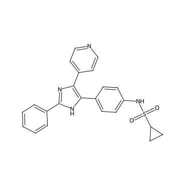 O=S(=O)(Nc1ccc(-c2[nH]c(-c3ccccc3)nc2-c2ccncc2)cc1)C1CC1